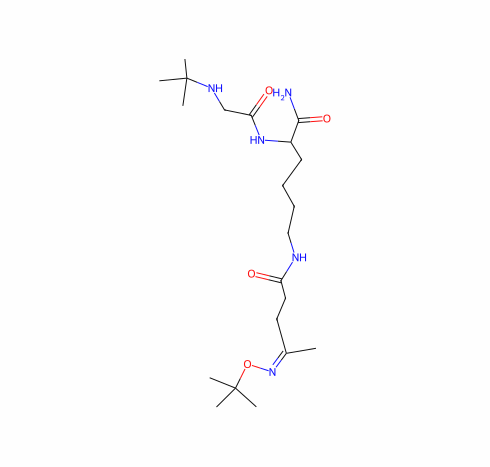 C/C(CCC(=O)NCCCCC(NC(=O)CNC(C)(C)C)C(N)=O)=N/OC(C)(C)C